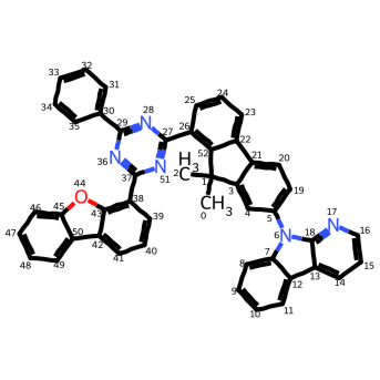 CC1(C)c2cc(-n3c4ccccc4c4cccnc43)ccc2-c2cccc(-c3nc(-c4ccccc4)nc(-c4cccc5c4oc4ccccc45)n3)c21